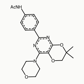 CC(=O)Nc1ccc(-c2nc3c(c(N4CCOCC4)n2)OCC(C)(C)O3)cc1